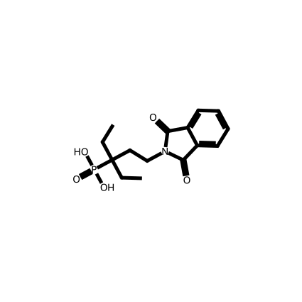 CCC(CC)(CCN1C(=O)c2ccccc2C1=O)P(=O)(O)O